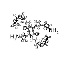 C[Si](C)(C)O[Si](C)(C)O[Si](C)(C)CCCN1C(=O)C2=C(c3ccc(-c4ccc(N)o4)o3)N(CCC[Si](C)(C)O[Si](C)(C)O[Si](C)(C)C)C(=O)C2=C1c1ccc(N)o1